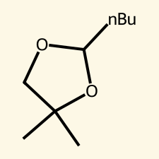 CCCCC1OCC(C)(C)O1